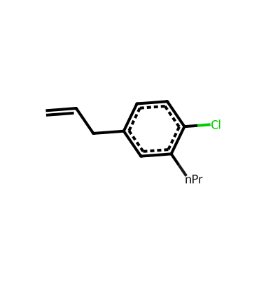 C=CCc1ccc(Cl)c(CCC)c1